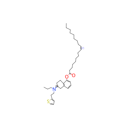 CCCCCCCC/C=C\CCCCCCCC(=O)Oc1cccc2c1CC[C@H](N(CCC)CCc1cccs1)C2